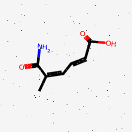 CC(=CC=CC(=O)O)C(N)=O